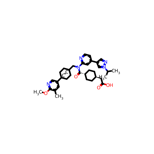 COc1ncc(C23CCC(CN(c4cc(-c5cnn(C(C)C)c5)ccn4)C(=O)[C@H]4CC[C@H](CC(=O)O)CC4)(CC2)CC3)cc1C